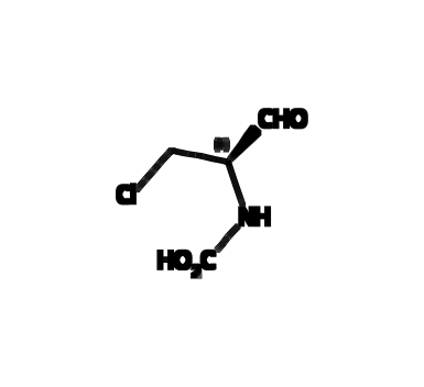 O=C[C@H](CCl)NC(=O)O